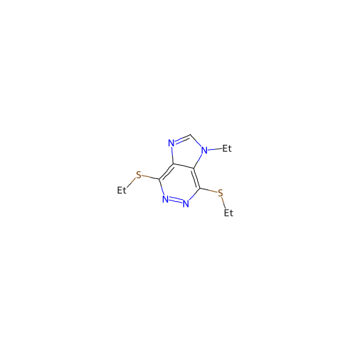 CCSc1nnc(SCC)c2c1ncn2CC